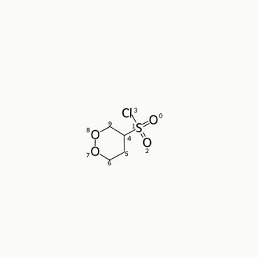 O=S(=O)(Cl)C1CCOOC1